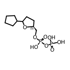 O=P(O)(O)OP(=O)(O)OC[C@@H]1CCC(C2CCCC2)O1